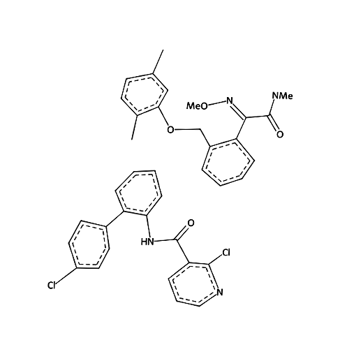 CNC(=O)/C(=N/OC)c1ccccc1COc1cc(C)ccc1C.O=C(Nc1ccccc1-c1ccc(Cl)cc1)c1cccnc1Cl